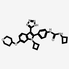 O=C(Nc1ccc(-c2c(-c3nnn[nH]3)c3ccc(OC4CCOCC4)cc3n2C2CCC2)cc1)NC1CCC1